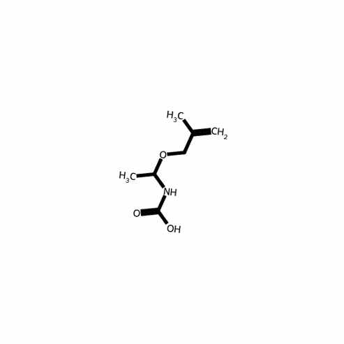 C=C(C)COC(C)NC(=O)O